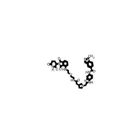 Cn1ncc2cc(C(=O)Nc3ccc4[nH]c(CN5CCC(CC(=O)NCCOCCNc6cccc7c6C(=O)N(C6CCC(=O)NC6=O)C7=O)C5)nc4c3)ccc21